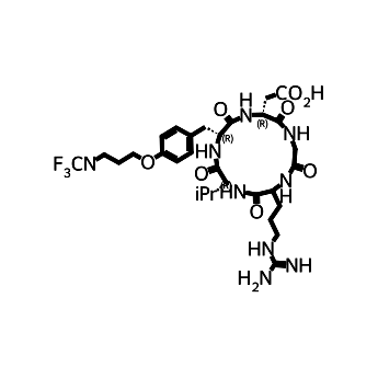 CC(C)[C@H]1NC(=O)C(CCCNC(=N)N)NC(=O)CNC(=O)[C@@H](CC(=O)O)NC(=O)[C@@H](Cc2ccc(OCCCNC(F)(F)F)cc2)NC1=O